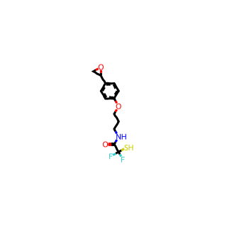 O=C(NCCCOc1ccc(C2CO2)cc1)C(F)(F)S